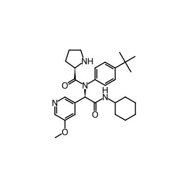 COc1cncc([C@H](C(=O)NC2CCCCC2)N(C(=O)[C@H]2CCCN2)c2ccc(C(C)(C)C)cc2)c1